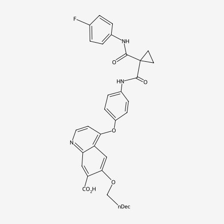 CCCCCCCCCCCOc1cc2c(Oc3ccc(NC(=O)C4(C(=O)Nc5ccc(F)cc5)CC4)cc3)ccnc2cc1C(=O)O